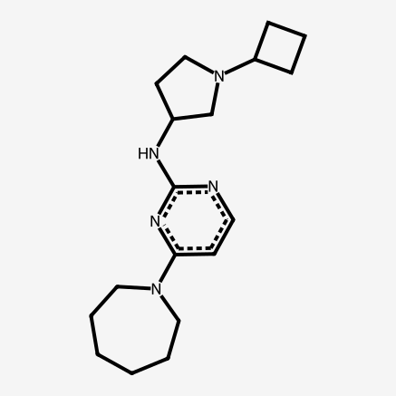 c1cc(N2CCCCCC2)nc(NC2CCN(C3CCC3)C2)n1